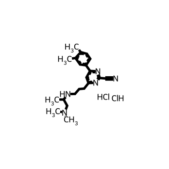 Cc1ccc(-c2cc(CCCNC(C)CN(C)C)nc(C#N)n2)cc1C.Cl.Cl